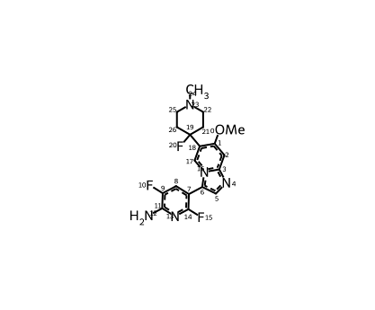 COc1cc2ncc(-c3cc(F)c(N)nc3F)n2cc1C1(F)CCN(C)CC1